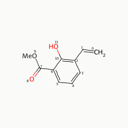 C=Cc1cccc(C(=O)OC)c1O